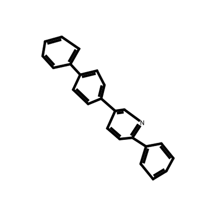 c1ccc(-c2ccc(-c3ccc(-c4ccccc4)nc3)cc2)cc1